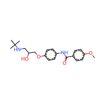 COc1ccc(C(=O)Nc2ccc(OCC(O)CNC(C)(C)C)cc2)cc1